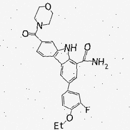 CCOc1ccc(-c2cc(C(N)=O)c3[nH]c4cc(C(=O)N5CCOCC5)ccc4c3c2)cc1F